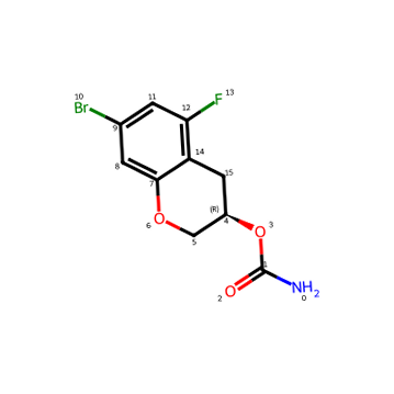 NC(=O)O[C@H]1COc2cc(Br)cc(F)c2C1